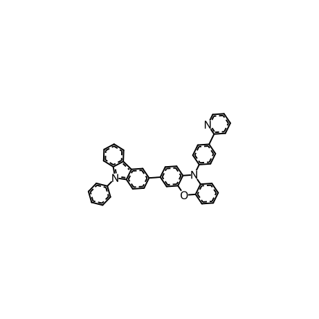 c1ccc(-n2c3ccccc3c3cc(-c4ccc5c(c4)Oc4ccccc4N5c4ccc(-c5ccccn5)cc4)ccc32)cc1